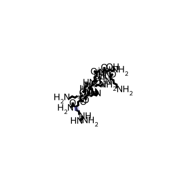 C[C@H](NC(=O)[C@@H](NC(=O)[C@@H](N)CCCCN)[C@@H](O)CN)C(=O)NCC(=O)N[C@H](CCCN)C(=O)N(C)[C@@H](C)C(=O)N[C@@H](Cc1cnc[nH]1)C(=O)N[C@@H](CCCCN)C(=O)CC/C(=C\CCNC(=N)N)C(N)=O